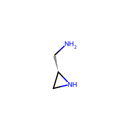 NC[C@H]1CN1